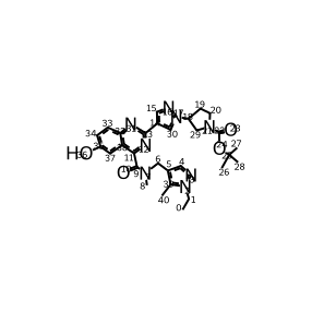 CCn1ncc(CN(C)C(=O)c2nc(-c3cnn(C4CCN(C(=O)OC(C)(C)C)C4)c3)nc3ccc(O)cc23)c1C